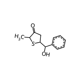 CC1SC(C(O)c2ccccc2)CC1=O